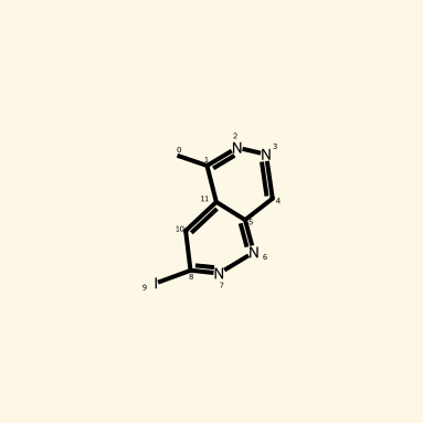 Cc1nncc2nnc(I)cc12